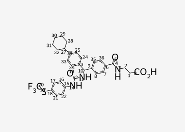 O=C(O)CCNC(=O)c1ccc(C(NC(=O)Nc2ccc(SC(F)(F)F)cc2)c2ccc(C3CCCCC3)cc2)cc1